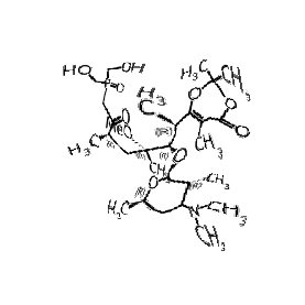 CO[C@](C)(C[C@@H](C)C(=O)CP(=O)(CO)CO)[C@H](O[C@@H]1O[C@H](C)CC(N(C)C)[C@H]1C)[C@@H](C)C1=C(C)C(=O)OC(C)(C)O1